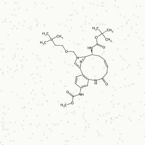 COC(=O)Nc1ccc2c(c1)NC(=O)C/C=C\C[C@H](NC(=O)OC(C)(C)C)c1nc-2cn1COCC[Si](C)(C)C